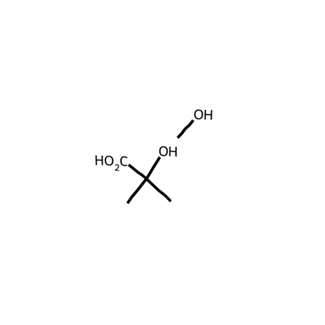 CC(C)(O)C(=O)O.CO